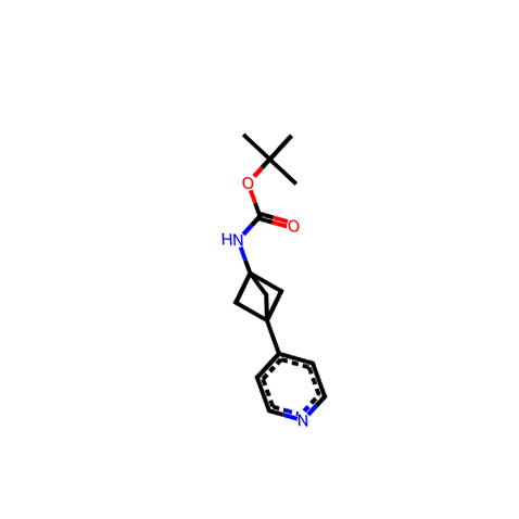 CC(C)(C)OC(=O)NC12CC(c3ccncc3)(C1)C2